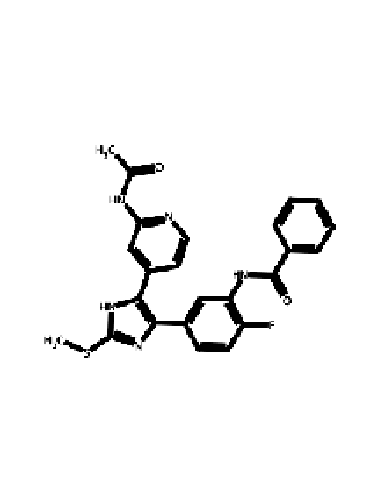 CSc1nc(-c2ccc(F)c(NC(=O)c3ccccc3)c2)c(-c2ccnc(NC(C)=O)c2)[nH]1